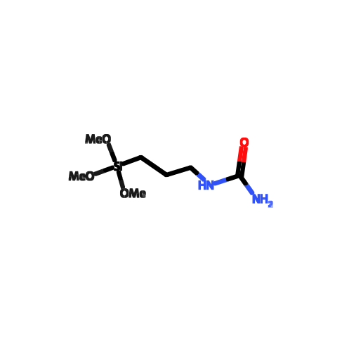 CO[Si](CCCNC(N)=O)(OC)OC